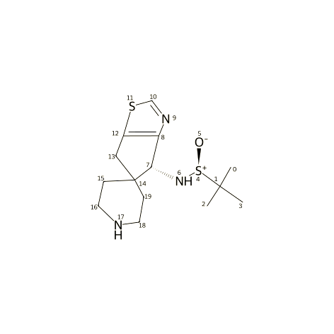 CC(C)(C)[S@+]([O-])N[C@H]1c2ncsc2CC12CCNCC2